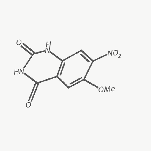 COc1cc2c(=O)[nH]c(=O)[nH]c2cc1[N+](=O)[O-]